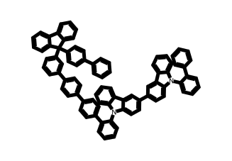 c1ccc(-c2ccc(C3(c4cccc(-c5ccc(-c6ccc(-c7ccccc7-n7c8ccccc8c8cc(-c9ccc%10c(c9)c9ccccc9n%10-c9ccccc9-c9ccccc9)ccc87)cc6)cc5)c4)c4ccccc4-c4ccccc43)cc2)cc1